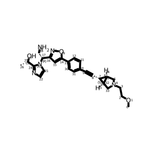 COCCN1C[C@@H]2[C@@H](C#Cc3ccc(-c4cc([C@@H](CN)n5ccnc5[C@H](C)O)no4)cc3)[C@@H]2C1